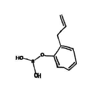 C=CCc1ccccc1OB(O)O